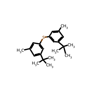 Cc1cc(Sc2[c]c(C(C)(C)C)cc(C)c2)[c]c(C(C)(C)C)c1